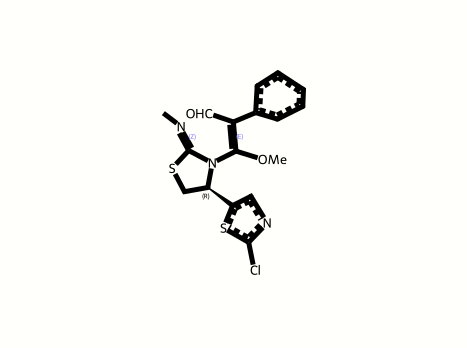 C/N=C1\SC[C@H](c2cnc(Cl)s2)N1/C(OC)=C(\C=O)c1ccccc1